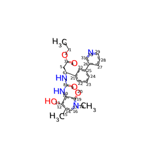 CCOC(=O)C[C@H](NC(=O)Nc1c(O)c(C)cn(C)c1=O)c1cccc(-c2cccnc2)c1